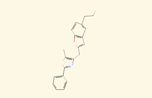 Cc1oc(-c2ccccc2)nc1Cc1cc2cc(CCO)ccc2o1